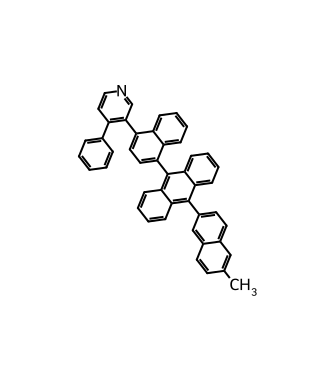 Cc1ccc2cc(-c3c4ccccc4c(-c4ccc(-c5cnccc5-c5ccccc5)c5ccccc45)c4ccccc34)ccc2c1